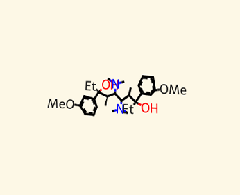 CCC(O)(c1cccc(OC)c1)C(C)C(C([C@@H](C)[C@](O)(CC)c1cccc(OC)c1)N(C)C)N(C)C